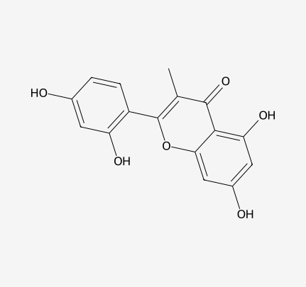 Cc1c(-c2ccc(O)cc2O)oc2cc(O)cc(O)c2c1=O